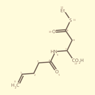 C=CCCC(=O)NC(CC(=O)SCC)C(=O)O